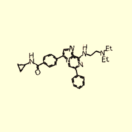 CCN(CC)CCNc1nc(-c2ccccc2)cn2c(-c3ccc(C(=O)NC4CC4)cc3)cnc12